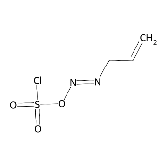 C=CCN=NOS(=O)(=O)Cl